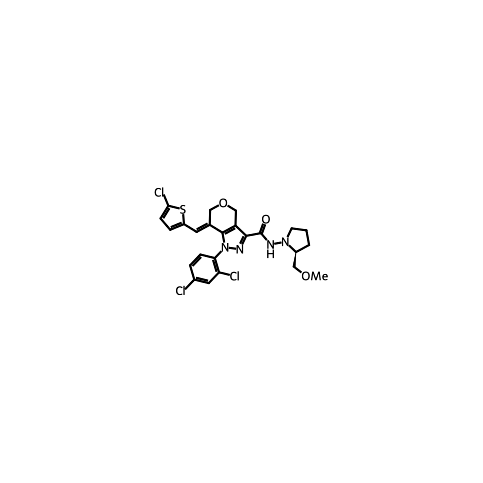 COC[C@@H]1CCCN1NC(=O)c1nn(-c2ccc(Cl)cc2Cl)c2c1COC/C2=C\c1ccc(Cl)s1